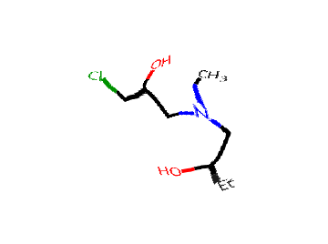 CCC(O)CN(C)CC(O)CCl